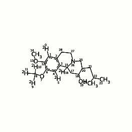 [2H]c1c2c(c([2H])c(OC([2H])([2H])[2H])c1OC)C1([2H])CC(O)C(CC(C)C)CN1CC2